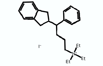 CC[N+](CC)(CC)CCCC(c1ccccc1)C1Cc2ccccc2C1.[I-]